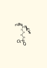 CCCCC(CCCCC(=O)Cl)N=C=S